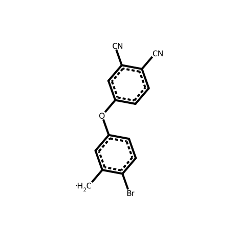 [CH2]c1cc(Oc2ccc(C#N)c(C#N)c2)ccc1Br